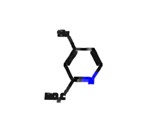 CCOC(=O)c1cc(C(C)(C)C)ccn1